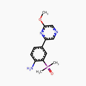 COc1cncc(-c2ccc(N)c(P(C)(C)=O)c2)n1